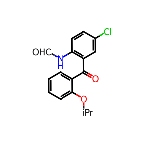 CC(C)Oc1ccccc1C(=O)c1cc(Cl)ccc1NC=O